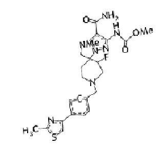 CNCC1(n2cc(C(N)=O)c(NC(=O)OC)n2)CCN(Cc2ccc(-c3csc(C)n3)cc2)CC1F